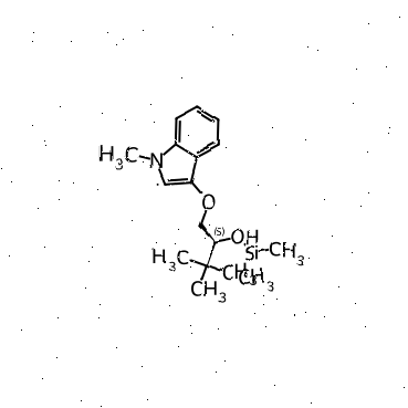 Cn1[c]c(OC[C@@H](O[SiH](C)C)C(C)(C)C)c2ccccc21